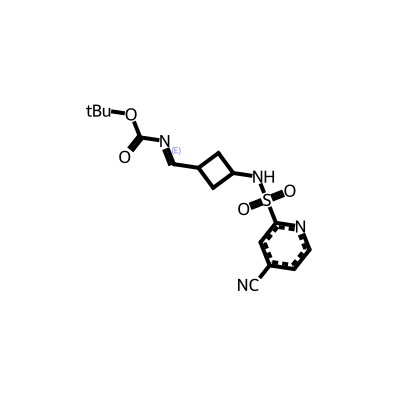 CC(C)(C)OC(=O)/N=C/C1CC(NS(=O)(=O)c2cc(C#N)ccn2)C1